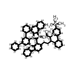 C=CC1C(CCc2ccc3c(sc4ccccc43)c2-c2n(-c3ccc(-c4ccccc4)cc3-c3ccccc3)c3ccc4ccccc4c3[n+]2C)c2ccccc2-c2ccc([Si](C)(C)C)c[n+]21